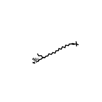 C=CN(CCC/C(=C/CCCCCCCCCCCCCCCC#CC(C)(C)C)CCC)NC